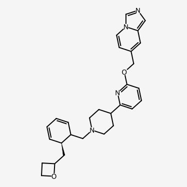 C1=CC(CN2CCC(c3cccc(OCc4ccn5cncc5c4)n3)CC2)[C@@H](CC2CCO2)C=C1